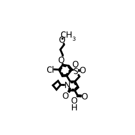 COCCCOc1cc2c(cc1Cl)-c1c(cc(C(=O)O)c(=O)n1C1CCC1)CS2(=O)=O